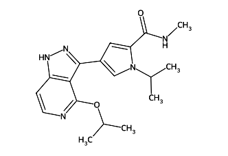 CNC(=O)c1cc(-c2n[nH]c3ccnc(OC(C)C)c23)cn1C(C)C